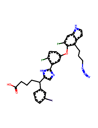 [N-]=[N+]=NCCCc1c(Oc2ccc(F)c(-c3ncc(C(CCCC(=O)O)c4cccc(I)c4)[nH]3)c2)c(F)cc2[nH]ccc12